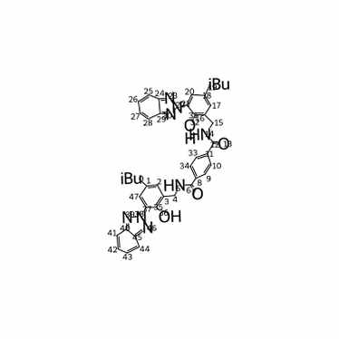 CCC(C)c1cc(CNC(=O)c2ccc(C(=O)NCc3cc(C(C)CC)cc(-n4nc5ccccc5n4)c3O)cc2)c(O)c(-n2nc3ccccc3n2)c1